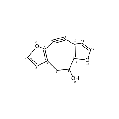 OC1Cc2ccoc2C#Cc2ccoc21